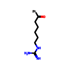 CC(C)C(=O)CCCCCNC(=N)N